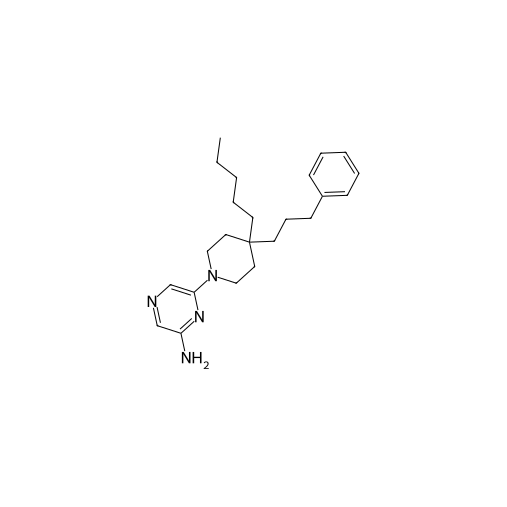 CCCCCC1(CCCc2ccccc2)CCN(c2cncc(N)n2)CC1